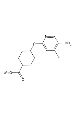 COC(=O)C1CCC(Oc2cc(F)c(N)cn2)CC1